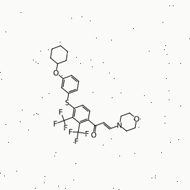 O=C(C=CN1CCOCC1)c1ccc(Sc2cccc(OC3CCCCC3)c2)c(C(F)(F)F)c1C(F)(F)F